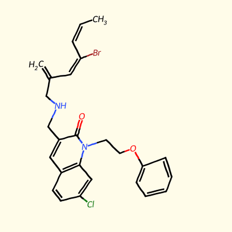 C=C(/C=C(Br)\C=C/C)CNCc1cc2ccc(Cl)cc2n(CCOc2ccccc2)c1=O